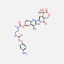 CCc1c2c(nc3ccc(OC(=O)N(C)CCN(C)C(=O)OCc4ccc(N)cc4)cc13)-c1cc3c(c(=O)n1C2)COC(=O)[C@]3(O)CC